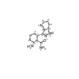 NC(=O)c1c(N)cccc1-c1n[nH]c2cccnc12